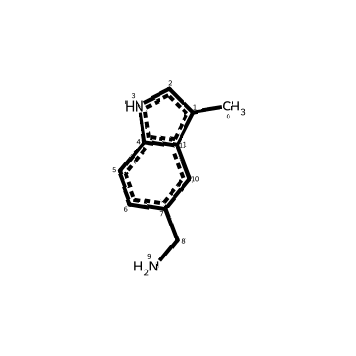 Cc1c[nH]c2ccc(CN)cc12